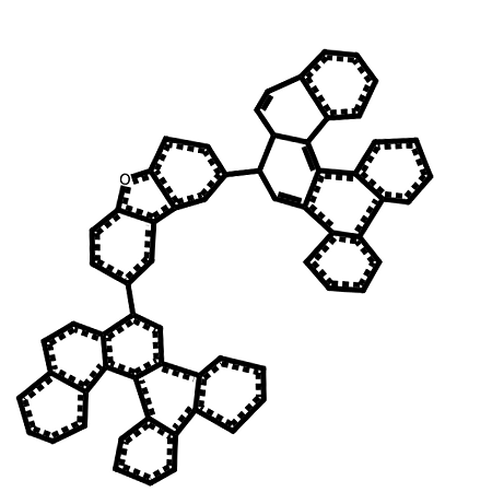 C1=CC2C(=c3c(c4ccccc4c4ccccc34)=CC2c2ccc3oc4ccc(-c5cc6c7ccccc7c7ccccc7c6c6c5ccc5ccccc56)cc4c3c2)c2ccccc21